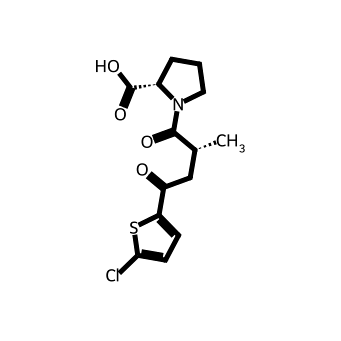 C[C@H](CC(=O)c1ccc(Cl)s1)C(=O)N1CCC[C@H]1C(=O)O